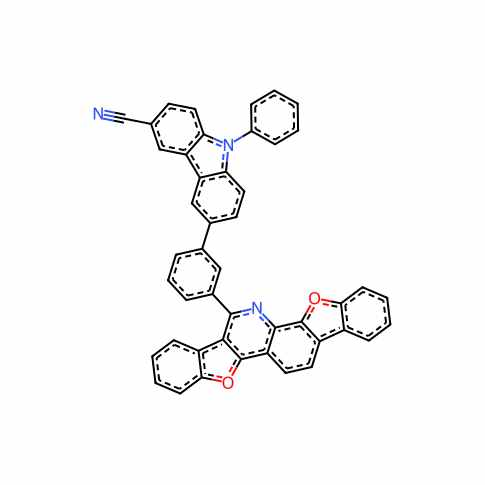 N#Cc1ccc2c(c1)c1cc(-c3cccc(-c4nc5c(ccc6c7ccccc7oc65)c5oc6ccccc6c45)c3)ccc1n2-c1ccccc1